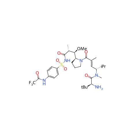 CO[C@H]([C@@H](C)C(=O)NS(=O)(=O)c1ccc(NC(=O)C(F)(F)F)cc1)[C@@H]1CCCN1C(=O)C(C)=C[C@H](C(C)C)N(C)C(=O)[C@@H](N)C(C)(C)C